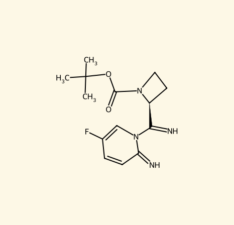 CC(C)(C)OC(=O)N1CC[C@H]1C(=N)n1cc(F)ccc1=N